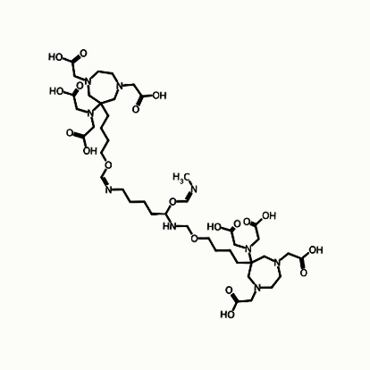 C/N=C\O[C@H](CCCC/N=C\OCCCCC1(N(CC(=O)O)CC(=O)O)CN(CC(=O)O)CCN(CC(=O)O)C1)NCOCCCCC1(N(CC(=O)O)CC(=O)O)CN(CC(=O)O)CCN(CC(=O)O)C1